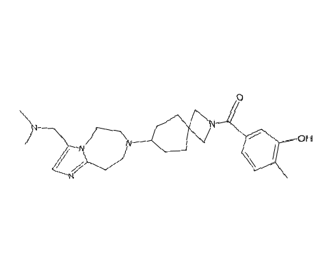 Cc1ccc(C(=O)N2CC3(CCC(N4CCc5ncc(CN(C)C)n5CC4)CC3)C2)cc1O